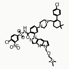 CC1(C)CCC(CN2CCN(c3ccc(C(=O)NS(=O)(=O)c4ccc(Cl)c([N+](=O)[O-])c4)c(-n4ncc5nc6c(ccn6COCC[Si](C)(C)C)cc54)c3)CC2)=C(c2ccc(Cl)cc2)C1